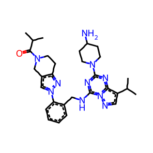 CC(C)C(=O)N1CCc2nn(-c3ccccc3CNc3nc(N4CCC(N)CC4)nc4c(C(C)C)cnn34)cc2C1